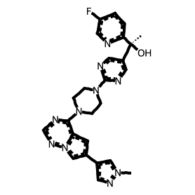 Cn1cc(-c2cc3c(N4CCN(c5ncc([C@](C)(O)c6ccc(F)cn6)cn5)CC4)ncnn3c2)cn1